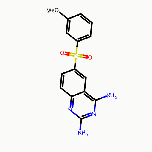 COc1cccc(S(=O)(=O)c2ccc3nc(N)nc(N)c3c2)c1